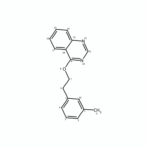 Cc1cccc(CCOc2ncnc3ccccc23)c1